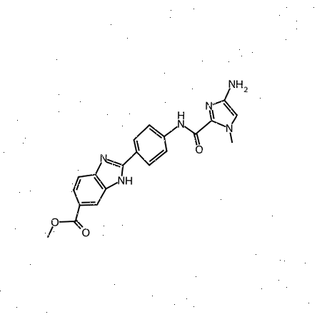 COC(=O)c1ccc2nc(-c3ccc(NC(=O)c4nc(N)cn4C)cc3)[nH]c2c1